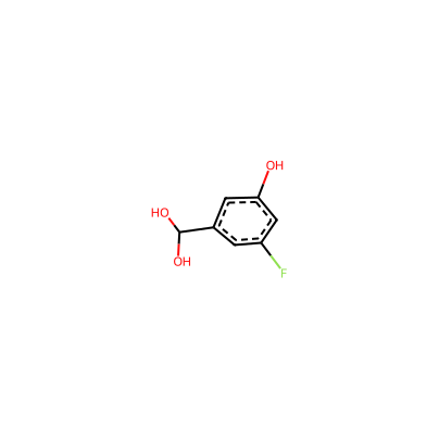 Oc1cc(F)cc(C(O)O)c1